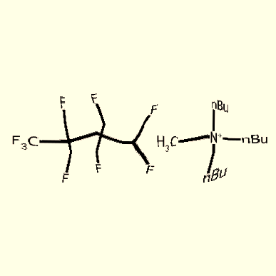 CCCC[N+](C)(CCCC)CCCC.FC(F)C(F)(F)C(F)(F)C(F)(F)F